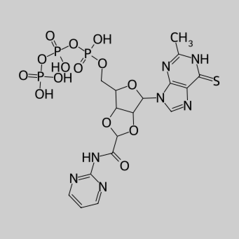 Cc1nc2c(ncn2C2OC(COP(=O)(O)OP(=O)(O)OP(=O)(O)O)C3OC(C(=O)Nc4ncccn4)OC32)c(=S)[nH]1